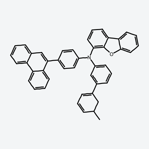 CC1C=CC=C(c2cccc(N(c3ccc(-c4cc5ccccc5c5ccccc45)cc3)c3cccc4c3oc3ccccc34)c2)C1